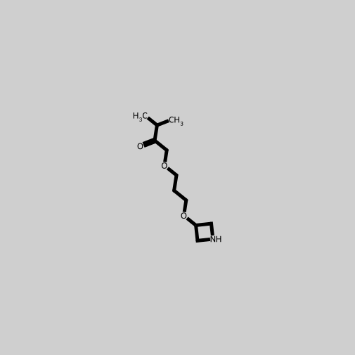 CC(C)C(=O)COCCCOC1CNC1